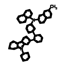 Cc1ccc2ccc(N(c3cccc(-c4ccccc4-c4ccc5c6ccccc6n(-c6ccccc6)c5c4)c3)c3cccc4ccccc34)cc2c1